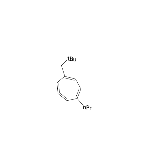 CCCC1=CC=C(CC(C)(C)C)C=C=C1